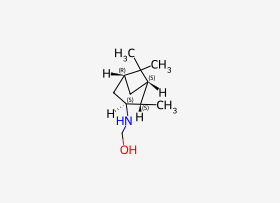 C[C@@H]1[C@@H](NCO)C[C@H]2C[C@@H]1C2(C)C